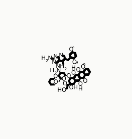 COc1ccc(OC)c(Cc2cnc3nc(N)nc(N)c3c2C)c1.COc1cccc2c1C(=O)c1c(O)c3c(c(O)c1C2=O)C[C@@](O)(C(=O)CO)C[C@@H]3O[C@H]1C[C@H](N)[C@H](O[C@@H]2CCCCO2)[C@H](C)O1